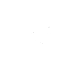 O[SiH](C1CCCCC1)[SiH](C1CCCCC1)[SiH](C1CCCCC1)[SiH](C1CCCCC1)[Si](O)(O)C1CCCCC1